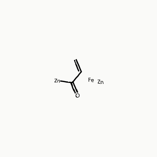 C=C[C](=O)[Zn].[Fe].[Zn]